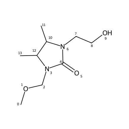 COCN1C(=O)N(CCO)C(C)C1C